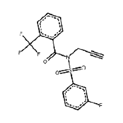 C#CCN(C(=O)c1ccccc1C(F)(F)F)S(=O)(=O)c1cccc(F)c1